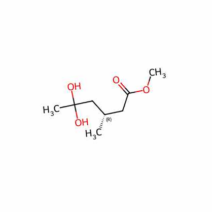 COC(=O)C[C@H](C)CC(C)(O)O